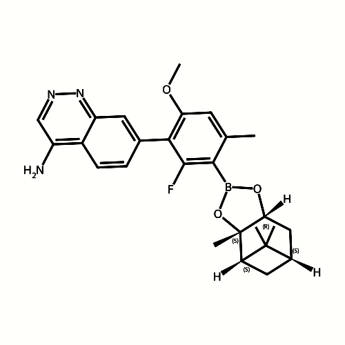 COc1cc(C)c(B2O[C@@H]3C[C@@H]4C[C@@H](C4(C)C)[C@]3(C)O2)c(F)c1-c1ccc2c(N)cnnc2c1